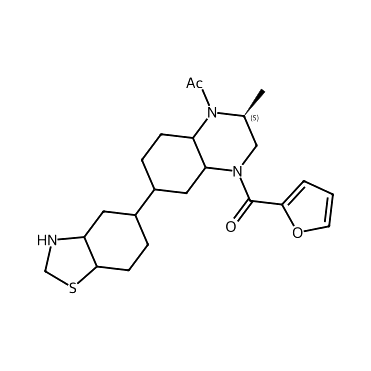 CC(=O)N1C2CCC(C3CCC4SCNC4C3)CC2N(C(=O)c2ccco2)C[C@@H]1C